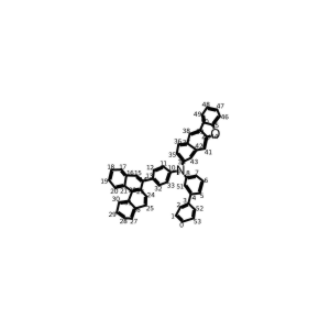 c1ccc(-c2cccc(N(c3ccc(-c4cc5ccccc5c5c4ccc4ccccc45)cc3)c3ccc4cc5c(cc4c3)oc3ccccc35)c2)cc1